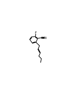 CCCC=CCc1cccc(F)c1C#N